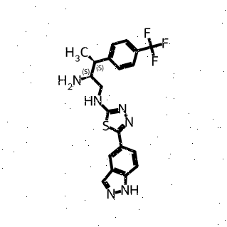 C[C@@H](c1ccc(C(F)(F)F)cc1)[C@H](N)CNc1nnc(-c2ccc3[nH]ncc3c2)s1